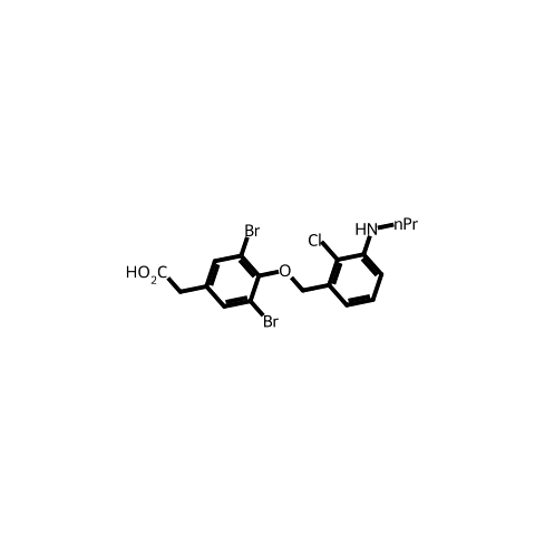 CCCNc1cccc(COc2c(Br)cc(CC(=O)O)cc2Br)c1Cl